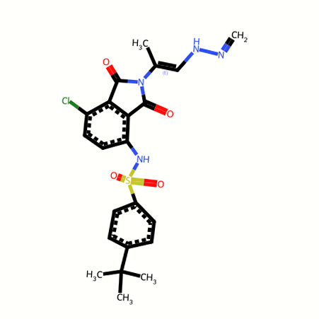 C=NN/C=C(\C)N1C(=O)c2c(Cl)ccc(NS(=O)(=O)c3ccc(C(C)(C)C)cc3)c2C1=O